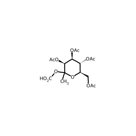 CC(=O)OC[C@H]1OC(C)(OC(=O)O)[C@@H](OC(C)=O)[C@@H](OC(C)=O)[C@@H]1OC(C)=O